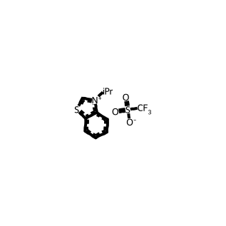 CC(C)[n+]1csc2ccccc21.O=S(=O)([O-])C(F)(F)F